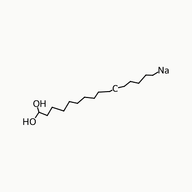 OC(O)CCCCCCCCCCCCCC[CH2][Na]